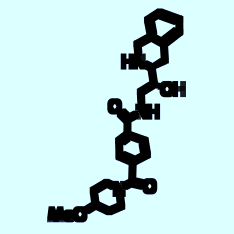 COC1CCN(C(=O)c2ccc(C(=O)NC[C@@H](O)[C@@H]3Cc4ccccc4CN3)cc2)CC1